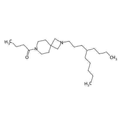 CCCCCC(CCCC)CCCN1CC2(CCN(C(=O)CCC)CC2)C1